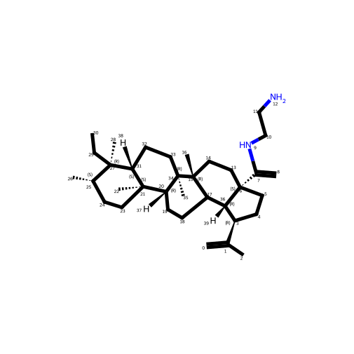 C=C(C)[C@@H]1CC[C@]2(C(=C)NCCN)CC[C@]3(C)C(CC[C@@H]4[C@@]5(C)CC[C@H](C)[C@@](C)(CC)[C@@H]5CC[C@]43C)[C@@H]12